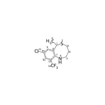 CC1SCCCNc2c1cc(Cl)cc2C(F)(F)F